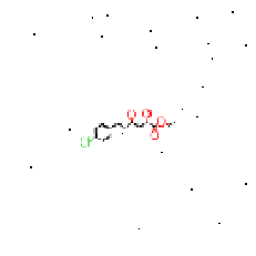 CCOC(=O)C(=O)CC(=O)CCc1ccc(Cl)cc1